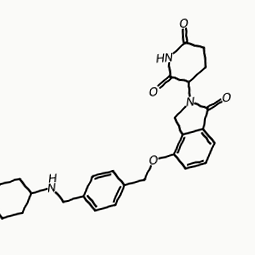 O=C1CCC(N2Cc3c(OCc4ccc(CNC5CCCCC5)cc4)cccc3C2=O)C(=O)N1